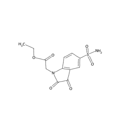 CCOC(=O)CN1C(=O)C(=O)c2cc(S(N)(=O)=O)ccc21